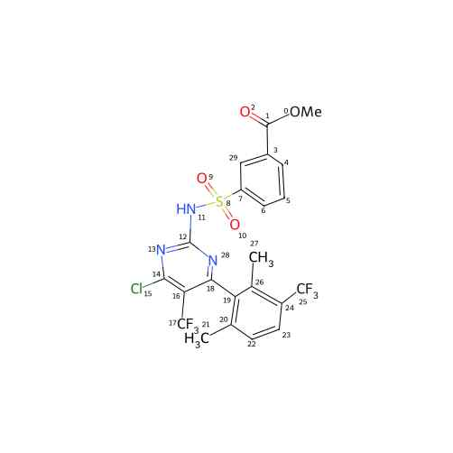 COC(=O)c1cccc(S(=O)(=O)Nc2nc(Cl)c(C(F)(F)F)c(-c3c(C)ccc(C(F)(F)F)c3C)n2)c1